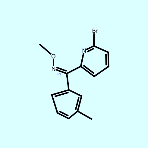 CO/N=C(/c1cccc(C)c1)c1cccc(Br)n1